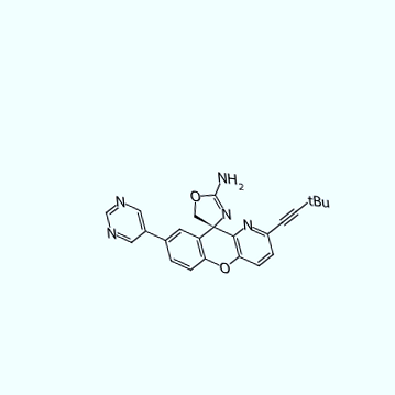 CC(C)(C)C#Cc1ccc2c(n1)[C@]1(COC(N)=N1)c1cc(-c3cncnc3)ccc1O2